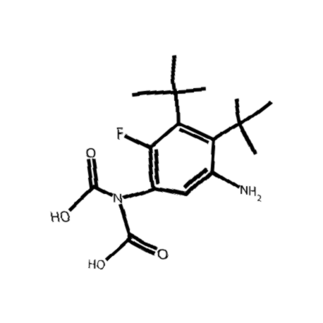 CC(C)(C)c1c(N)cc(N(C(=O)O)C(=O)O)c(F)c1C(C)(C)C